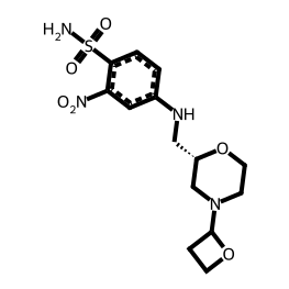 NS(=O)(=O)c1ccc(NC[C@H]2CN(C3CCO3)CCO2)cc1[N+](=O)[O-]